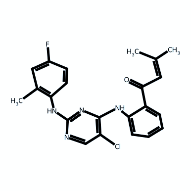 CC(C)=CC(=O)c1ccccc1Nc1nc(Nc2ccc(F)cc2C)ncc1Cl